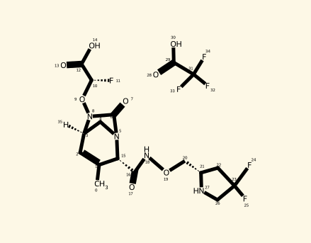 CC1=C[C@@H]2CN(C(=O)N2O[C@@H](F)C(=O)O)[C@@H]1C(=O)NOC[C@@H]1CC(F)(F)CN1.O=C(O)C(F)(F)F